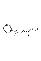 CC(=CC[Si](C)(C)c1ccccc1)C(=O)O